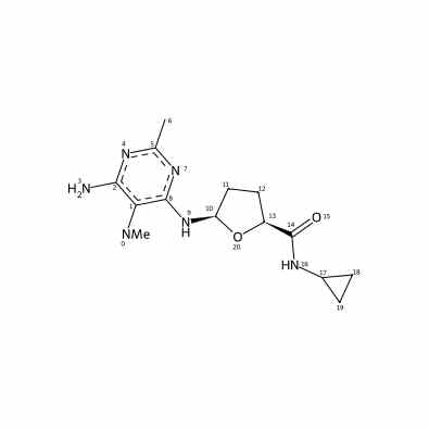 CNc1c(N)nc(C)nc1N[C@H]1CC[C@@H](C(=O)NC2CC2)O1